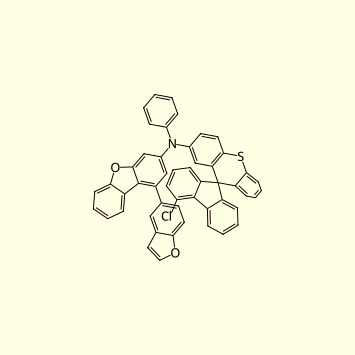 Clc1cccc2c1-c1ccccc1C21c2ccccc2Sc2ccc(N(c3ccccc3)c3cc(-c4ccc5occc5c4)c4c(c3)oc3ccccc34)cc21